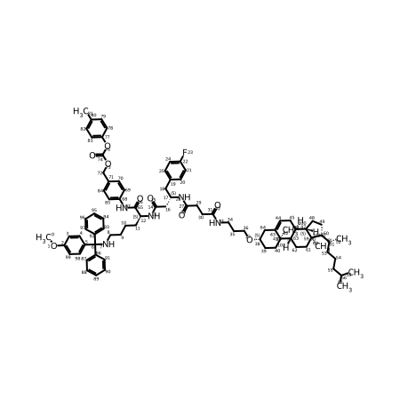 COc1ccc(C(NCCCC[C@H](NC(=O)C[C@H](Cc2ccc(F)cc2)NC(=O)CCC(=O)NCCCO[C@H]2CC[C@@]3(C)C(=CC[C@H]4[C@@H]5CC[C@H]([C@H](C)CCCC(C)C)[C@@]5(C)CC[C@@H]43)C2)C(=O)Nc2ccc(COC(=O)Oc3ccc(C)cc3)cc2)(c2ccccc2)c2ccccc2)cc1